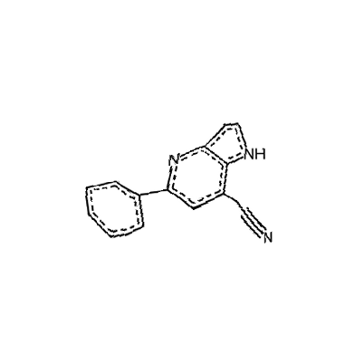 N#Cc1cc(-c2ccccc2)nc2cc[nH]c12